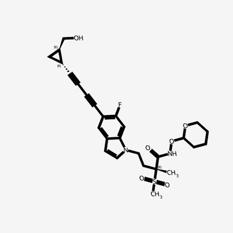 C[C@@](CCn1ccc2cc(C#CC#C[C@@H]3C[C@H]3CO)c(F)cc21)(C(=O)NOC1CCCCO1)S(C)(=O)=O